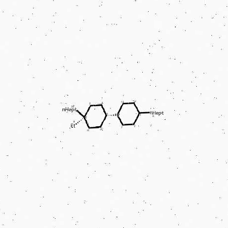 CCCCCCCC1CCC([C@H]2CC[C@](CC)(CCCCCCC)CC2)CC1